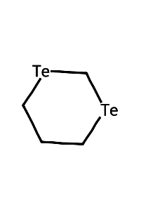 C1C[Te]C[Te]C1